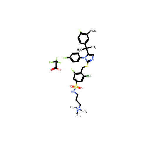 COc1cc(C(C)(C)c2cnc(SCc3c(F)cc(S(=O)(=O)NCCC[N+](C)(C)C)cc3Cl)n2-c2ccc(F)cc2)ccc1F.O=C([O-])C(F)(F)F